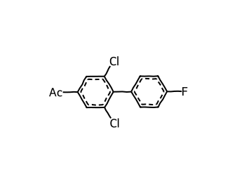 CC(=O)c1cc(Cl)c(-c2ccc(F)cc2)c(Cl)c1